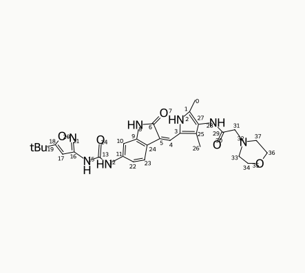 Cc1[nH]c(/C=C2\C(=O)Nc3cc(NC(=O)Nc4cc(C(C)(C)C)on4)ccc32)c(C)c1NC(=O)CN1CCOCC1